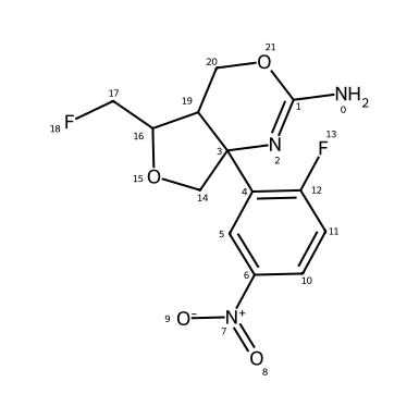 NC1=NC2(c3cc([N+](=O)[O-])ccc3F)COC(CF)C2CO1